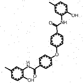 Cc1ccc(O)c(NC(=O)c2ccc(Oc3ccc(C(=O)Nc4cc(C)ccc4O)cc3)cc2)c1